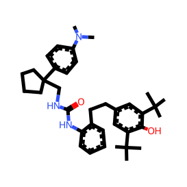 CN(C)c1ccc(C2(CNC(=O)Nc3ccccc3CCc3cc(C(C)(C)C)c(O)c(C(C)(C)C)c3)CCCC2)cc1